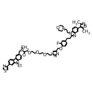 CCn1c2ccc(CN(C)C(=O)COCCOCCOCCn3cc(COc4ccc(CCc5nc6cc(-c7c(C)noc7C)ccc6n5CCN5CCOCC5)cc4F)nn3)cc2c2ccc(-c3cscn3)cc21